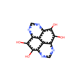 Oc1c(O)c2ncnc3c(O)c(O)c4ncnc1c4c23